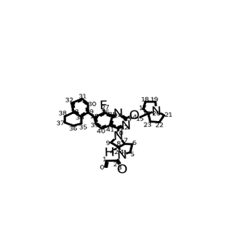 C=CC(=O)N1CCC2[C@H]1CN2c1nc(OCC23CCCN2CCC3)nc2c(F)c(-c3cccc4c3CCCC4)ccc12